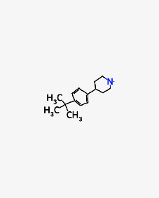 CC(C)(C)c1ccc(C2CC[N]CC2)cc1